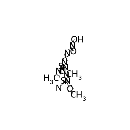 CCc1nc2sc(N3CC4(CN(CC(=O)N5CC(O)C5)C4)C3)nn2c1N(C)c1nc(-c2ccc(C)cc2)c(C#N)s1